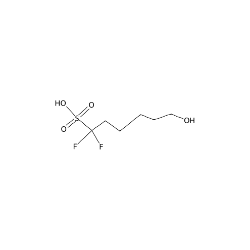 O=S(=O)(O)C(F)(F)CCCCCO